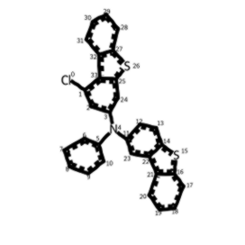 Clc1cc(N(c2ccccc2)c2ccc3sc4ccccc4c3c2)cc2sc3ccccc3c12